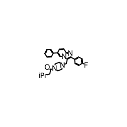 CC(C)CC(=O)N1CCN(Cc2c(-c3ccc(F)cc3)nc3ccc(-c4ccccc4)cn23)CC1